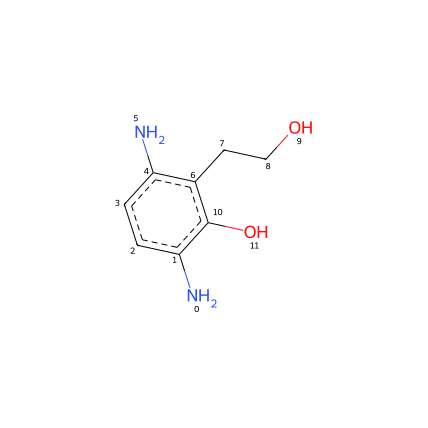 Nc1ccc(N)c(CCO)c1O